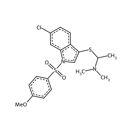 COc1ccc(S(=O)(=O)n2cc(SC(C)N(C)C)c3ccc(Cl)cc32)cc1